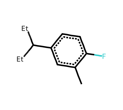 CCC(CC)c1ccc(F)c(C)c1